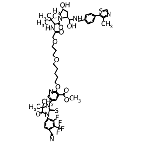 COC(=O)c1cc(N2C(=S)N(c3ccc(C#N)c(C(F)(F)F)c3F)C(=O)C2(C)C)cnc1OCCCCCOCCCOCC(=O)N[C@H](C(=O)N1C[C@H](O)C[C@H]1C(O)NCc1ccc(-c2scnc2C)cc1)C(C)(C)C